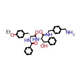 CCOc1ccc(C[C@@H](NC(=O)c2ccccc2)C(=O)N[C@H](C(=O)NCc2ccc(CN)cc2)[C@@H](O)c2ccccc2)cc1